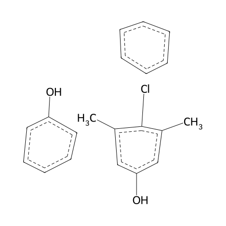 Cc1cc(O)cc(C)c1Cl.Oc1ccccc1.c1ccccc1